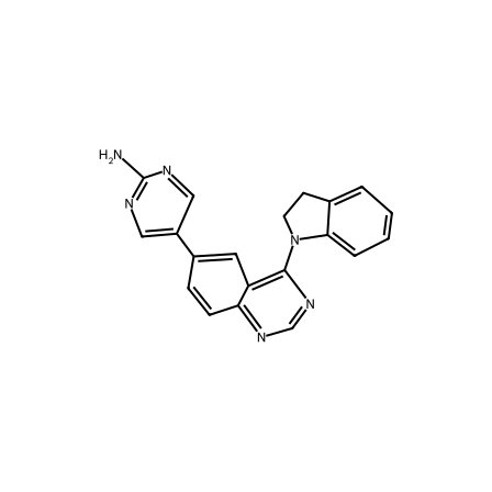 Nc1ncc(-c2ccc3ncnc(N4CCc5ccccc54)c3c2)cn1